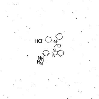 Cl.O=C(Cn1c(-c2cccc(-n3cnnn3)c2)nc2ccccc21)N(C1CCCCC1)C1CCCCC1